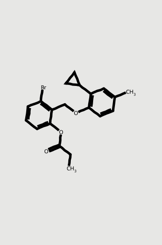 CCC(=O)Oc1cccc(Br)c1COc1ccc(C)cc1C1CC1